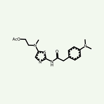 CC(=O)OCCN(C)c1cnc(NC(=O)Cc2ccc(N(C)C)cc2)s1